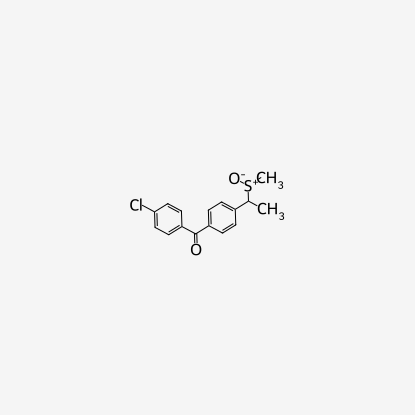 CC(c1ccc(C(=O)c2ccc(Cl)cc2)cc1)[S+](C)[O-]